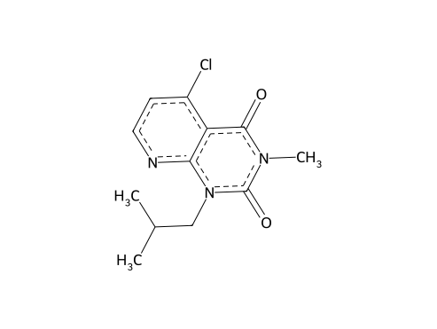 CC(C)Cn1c(=O)n(C)c(=O)c2c(Cl)ccnc21